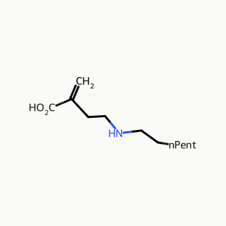 C=C(CCNCCCCCCC)C(=O)O